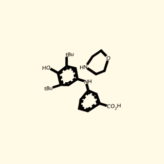 C1COCCN1.CC(C)(C)c1cc(Nc2cccc(C(=O)O)c2)cc(C(C)(C)C)c1O